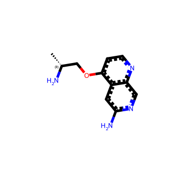 C[C@@H](N)COc1ccnc2cnc(N)cc12